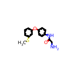 CSc1cccc(Oc2ccc(NC(=O)CN)cc2)c1